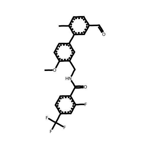 COc1ccc(-c2cc(C=O)ccc2C)cc1CNC(=O)c1ccc(C(F)(F)F)cc1F